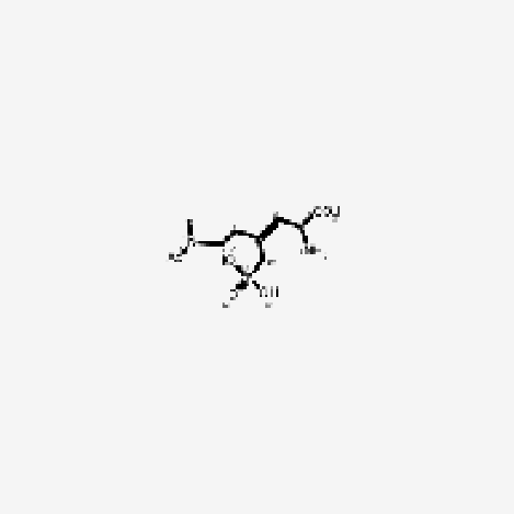 CC(=O)N(C)CC/C(=C/C(N)C(=O)O)CP(=O)(O)O